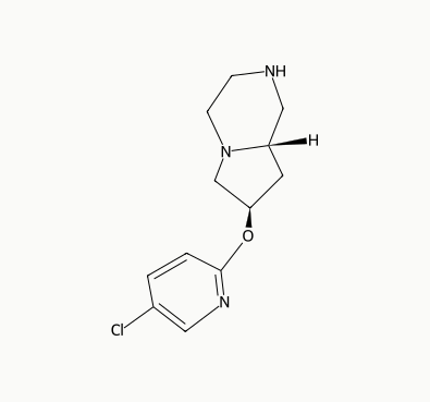 Clc1ccc(O[C@@H]2C[C@H]3CNCCN3C2)nc1